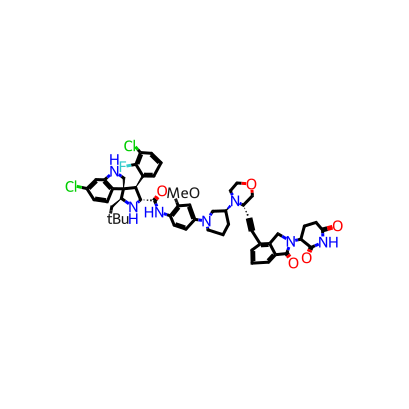 COc1cc(N2CCC[C@H](N3CCOC[C@@H]3C#Cc3cccc4c3CN(C3CCC(=O)NC3=O)C4=O)C2)ccc1NC(=O)[C@@H]1N[C@@H](CC(C)(C)C)[C@@]2(CNc3cc(Cl)ccc32)[C@H]1c1cccc(Cl)c1F